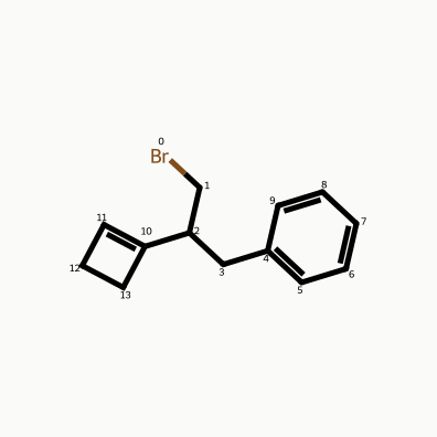 BrCC(Cc1ccccc1)C1=CCC1